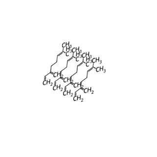 C=CC(=C)CCC=C(C)C.C=CC(=C)CCC=C(C)C.C=CC(=C)CCC=C(C)C.C=CC(=C)CCC=C(C)C